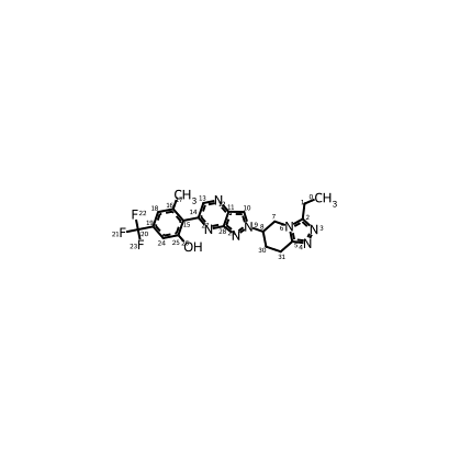 CCc1nnc2n1CC(n1cc3ncc(-c4c(C)cc(C(F)(F)F)cc4O)nc3n1)CC2